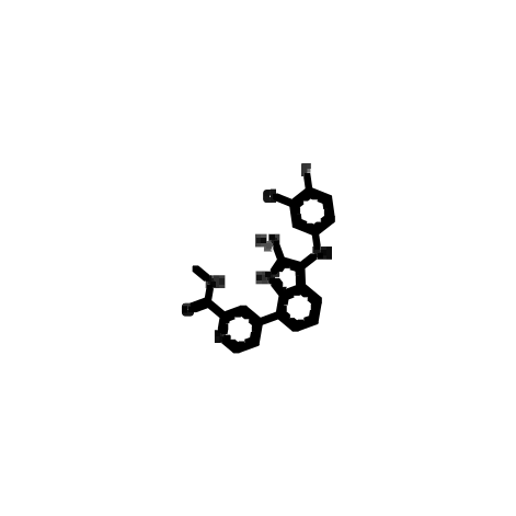 CNC(=O)c1cc(-c2cccc3c(Nc4ccc(F)c(Cl)c4)c(N)[nH]c23)ccn1